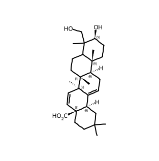 CC1(C)CC[C@]2(C(=O)O)C=C[C@]3(C)C(=CC[C@@H]4[C@@]5(C)CC[C@H](O)C(C)(CO)C5CC[C@]43C)[C@H]2C1